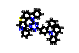 c1ccc(-c2nc(-c3ccc(-n4c5ccccc5c5ccccc54)c(-c4ccccc4)c3)nc(-n3c4ccccc4c4ccc5sc6cnccc6c5c43)n2)cc1